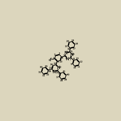 Fc1ccc(-c2nc(-c3ccccc3)nc(-c3ccccc3)n2)cc1-c1cc(-c2ccccc2)nc(-c2ccccc2)n1